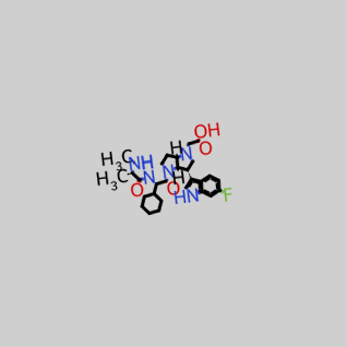 CN[C@@H](C)C(=O)N[C@H](C(=O)N1CC[C@@H]2[C@H]1[C@@H](c1c[nH]c3cc(F)ccc13)CN2CC(=O)O)C1CCCCC1